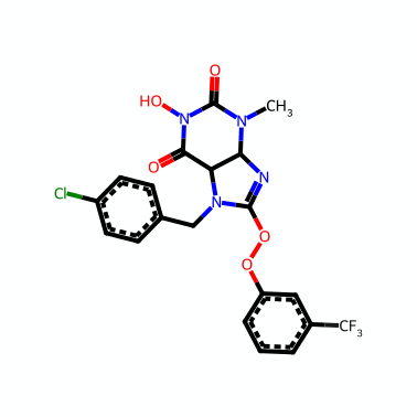 CN1C(=O)N(O)C(=O)C2C1N=C(OOc1cccc(C(F)(F)F)c1)N2Cc1ccc(Cl)cc1